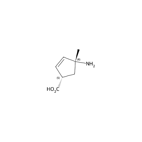 C[C@]1(N)C=C[C@@H](C(=O)O)C1